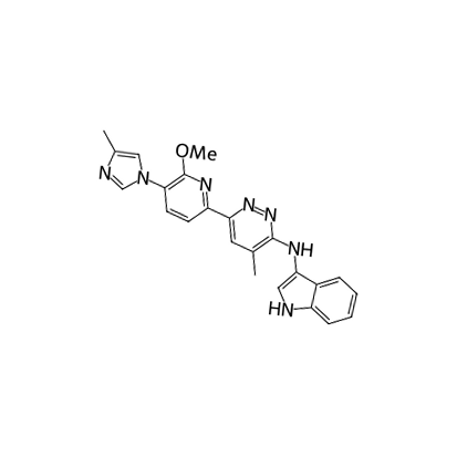 COc1nc(-c2cc(C)c(Nc3c[nH]c4ccccc34)nn2)ccc1-n1cnc(C)c1